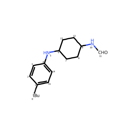 CC(C)(C)c1ccc(NC2CCC(NC=O)CC2)cc1